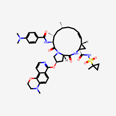 C[C@@H]1CCC=C[C@@H]2C[C@@]2(C(=O)NS(=O)(=O)C2(C)CC2)NC(=O)[C@@H]2C[C@@H](Oc3nccc4c5c(ccc34)N(C)CCO5)CN2C(=O)[C@@H](NC(=O)c2ccc(N(C)C)cc2)[C@H](C)C1